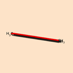 CCC(O)CC(O)CC(O)CC(O)CC(O)CC(O)CC(O)CC(O)CC(O)CC(O)CC(O)CC(O)CC(O)CC(O)CC(O)CC(O)CC(O)CC(O)CC(O)CC(O)CC(O)CC(O)CC(O)CC(O)CC(O)CC(O)CC(O)CC(O)CC(O)CC(O)CC(O)CC(O)CC(O)CC(O)CC(O)CC(O)CC(O)CC(O)CC(O)CC(C)O